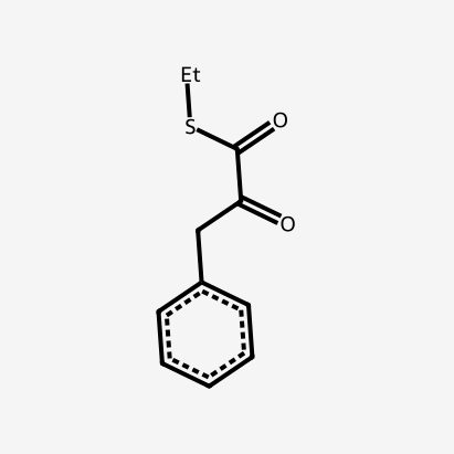 CCSC(=O)C(=O)Cc1ccccc1